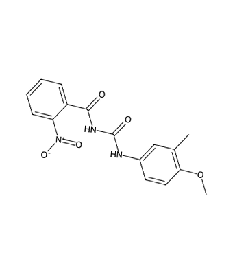 COc1ccc(NC(=O)NC(=O)c2ccccc2[N+](=O)[O-])cc1C